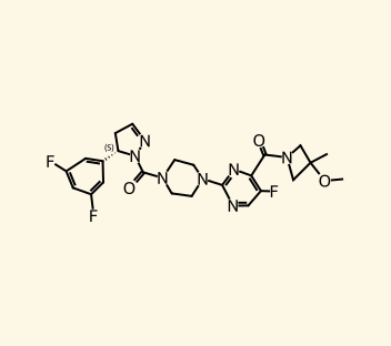 COC1(C)CN(C(=O)c2nc(N3CCN(C(=O)N4N=CC[C@H]4c4cc(F)cc(F)c4)CC3)ncc2F)C1